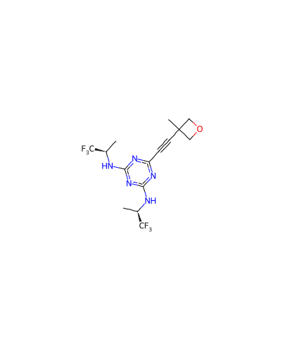 C[C@@H](Nc1nc(C#CC2(C)COC2)nc(N[C@H](C)C(F)(F)F)n1)C(F)(F)F